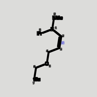 CNN(/C=C\COCC(C)(C)C)C(C)C